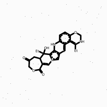 CCC1=c2c(ccc3c2=Cc2cn4c(c2N3)C(O)(CC)C2CC(=O)COC(=O)C2=C4)OCN1